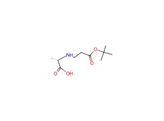 C[C@H](NCCC(=O)OC(C)(C)C)C(=O)O